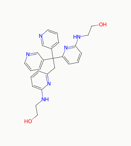 OCCNc1cccc(CC(c2cccnc2)(c2cccnc2)c2cccc(NCCO)n2)n1